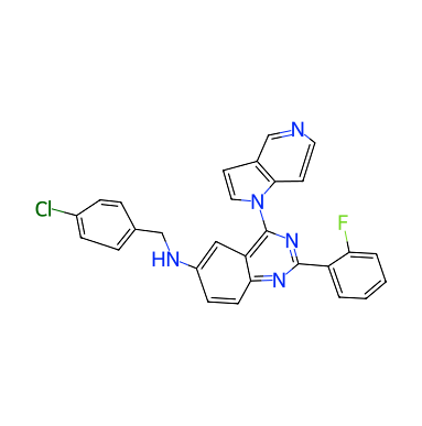 Fc1ccccc1-c1nc(-n2ccc3cnccc32)c2cc(NCc3ccc(Cl)cc3)ccc2n1